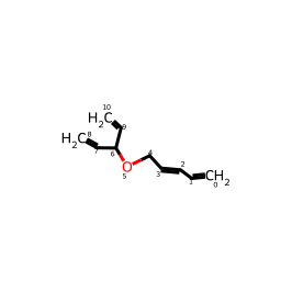 C=CC=CCOC(C=C)C=C